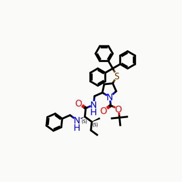 CC[C@H](C)[C@H](NCc1ccccc1)C(=O)NCC1CC(SC(c2ccccc2)(c2ccccc2)c2ccccc2)CN1C(=O)OC(C)(C)C